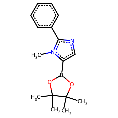 Cn1c(B2OC(C)(C)C(C)(C)O2)cnc1-c1ccccc1